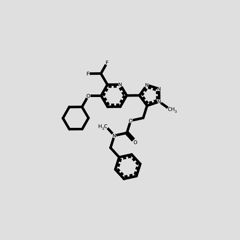 CN(Cc1ccccc1)C(=O)OCc1c(-c2ccc(OC3CCCCC3)c(C(F)F)n2)nnn1C